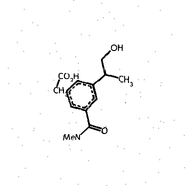 CC(=O)O.CNC(=O)c1cccc(C(C)CO)c1